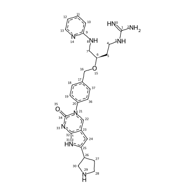 N=C(N)NCC[C@H](CNc1ccccn1)OCc1ccc(-n2cc3cc(C4CCNC4)[nH]c3nc2=O)cc1